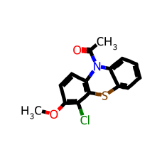 COc1ccc2c(c1Cl)Sc1ccccc1N2C(C)=O